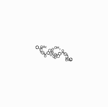 CC(=O)ON=C(CN1CCN(C(=O)c2ccc3c(c2)CCC(=O)N3OC(=O)C(=O)ON2C(=O)CCc3cc(C(=O)N4CCN(CC(=NOC(C)=O)c5ccccc5)CC4)ccc32)CC1)c1ccccc1.O